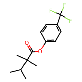 CC(C)C(C)(C)C(=O)Oc1ccc(C(F)(F)F)cc1